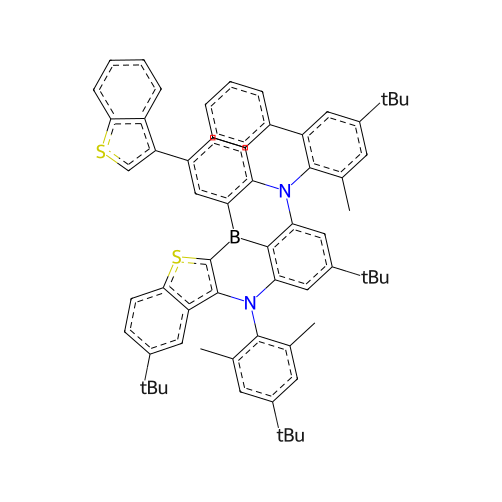 Cc1cc(C(C)(C)C)cc(C)c1N1c2cc(C(C)(C)C)cc3c2B(c2cc(-c4csc5ccccc45)ccc2N3c2c(C)cc(C(C)(C)C)cc2-c2ccccc2)c2sc3ccc(C(C)(C)C)cc3c21